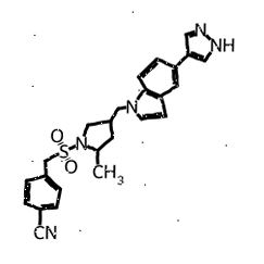 CC1CC(Cn2ccc3cc(-c4cn[nH]c4)ccc32)CN1S(=O)(=O)Cc1ccc(C#N)cc1